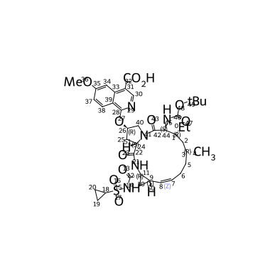 CC[C@@H]1C[C@H](C)CC/C=C\[C@@H]2C[C@@]2(C(=O)NS(=O)(=O)C2CC2)NC(=O)[C@@H]2C[C@@H](Oc3ncc(C(=O)O)c4cc(OC)ccc34)CN2C(=O)[C@H]1NC(=O)OC(C)(C)C